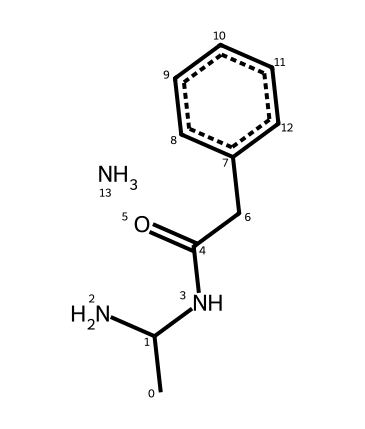 CC(N)NC(=O)Cc1ccccc1.N